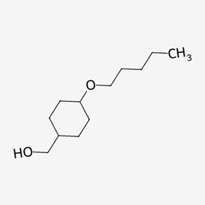 CCCCCOC1CCC(CO)CC1